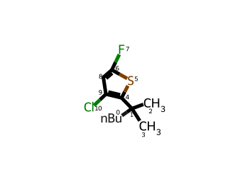 CCCCC(C)(C)c1sc(F)cc1Cl